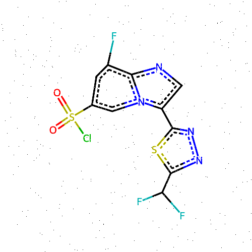 O=S(=O)(Cl)c1cc(F)c2ncc(-c3nnc(C(F)F)s3)n2c1